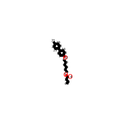 C=CCC(=O)OCCCCCCOc1ccc(-c2ccc(C)cc2)cc1